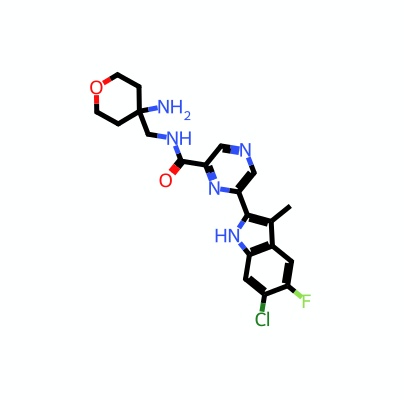 Cc1c(-c2cncc(C(=O)NCC3(N)CCOCC3)n2)[nH]c2cc(Cl)c(F)cc12